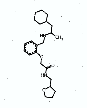 CC(CC1CCCCC1)NCc1ccccc1OCC(=O)NCC1CCCO1